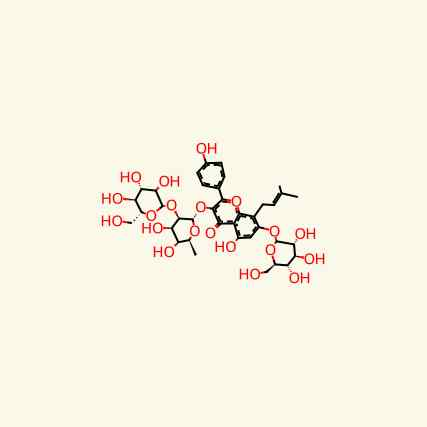 CC(C)=CCc1c(O[C@@H]2O[C@H](CO)[C@@H](O)[C@H](O)[C@H]2O)cc(O)c2c(=O)c(O[C@@H]3O[C@@H](C)[C@@H](O)[C@@H](O)[C@H]3O[C@@H]3O[C@H](CO)[C@@H](O)[C@H](O)[C@H]3O)c(-c3ccc(O)cc3)oc12